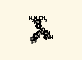 Cc1cc2c(nc1N)CCC(C(=O)N(Cc1ccc(C(F)(F)F)cn1)Cc1ccnc3[nH]ccc13)C2